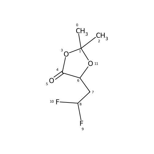 CC1(C)OC(=O)C(CC(F)F)O1